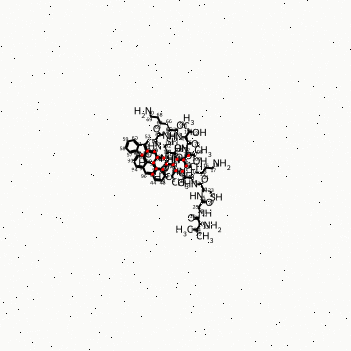 CC(C)C[C@H](NC(=O)[C@H](C)NC(=O)[C@H](CCCCN)NC(=O)[C@H](CS)NC(=O)CNC(=O)[C@H](N)C(C)C)C(=O)N[C@@H](Cc1ccccc1)C(=O)N[C@H](Cc1c[nH]c2ccccc12)C(=O)N[C@@H](CCCCN)C(=O)N[C@H](C(=O)N[C@H](C(=O)N[C@@H](CO)C(=O)N(C1C=Cc2cccc3cccc1c23)[C@@H](CS)C(=O)O)[C@@H](C)O)[C@@H](C)O